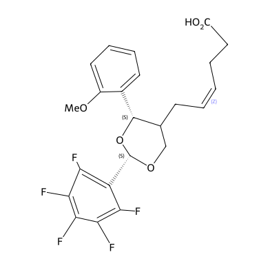 COc1ccccc1[C@H]1O[C@@H](c2c(F)c(F)c(F)c(F)c2F)OCC1C/C=C\CCC(=O)O